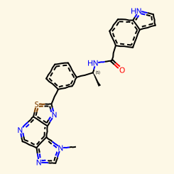 C[C@H](NC(=O)c1ccc2[nH]ccc2c1)c1cccc(-c2nc3c(ncc4ncn(C)c43)s2)c1